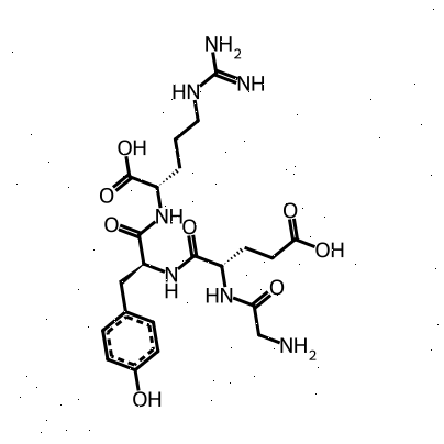 N=C(N)NCCC[C@H](NC(=O)[C@H](Cc1ccc(O)cc1)NC(=O)[C@H](CCC(=O)O)NC(=O)CN)C(=O)O